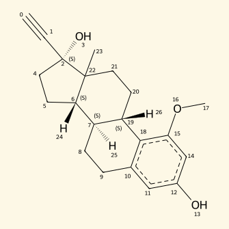 C#C[C@]1(O)CC[C@H]2[C@@H]3CCc4cc(O)cc(OC)c4[C@H]3CCC21C